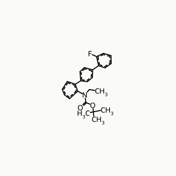 CCN(C(=O)OC(C)(C)C)c1ccccc1-c1ccc(-c2ccccc2F)cc1